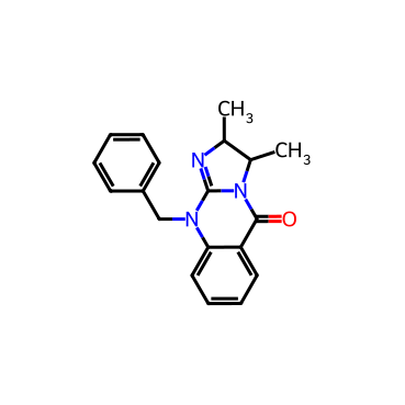 CC1N=C2N(Cc3ccccc3)c3ccccc3C(=O)N2C1C